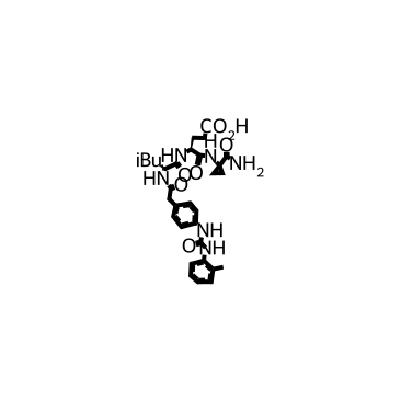 CCC(C)[C@H](NC(=O)Cc1ccc(NC(=O)Nc2ccccc2C)cc1)C(=O)N[C@@H](CCC(=O)O)C(=O)NC1(C(N)=O)CC1